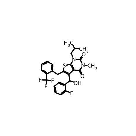 CC(C)Cn1c(=O)n(C)c(=O)c2c(C(O)c3ccccc3F)c(Cc3ccccc3C(F)(F)F)sc21